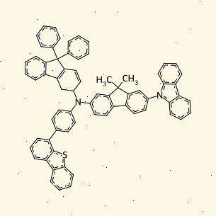 CC1(C)c2cc(N(c3ccc(-c4cccc5c4sc4ccccc45)cc3)C3C=CC4=C(C3)c3ccccc3C4(c3ccccc3)c3ccccc3)ccc2-c2ccc(-n3c4ccccc4c4ccccc43)cc21